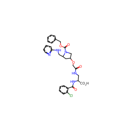 O=C(COC1CC(CNc2ccccn2)N(C(=O)OCc2ccccc2)C1)NCC(NC(=O)c1ccccc1Cl)C(=O)O